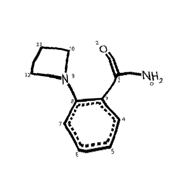 NC(=O)c1ccccc1N1CCC1